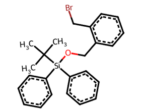 CC(C)(C)[Si](OCc1ccccc1CBr)(c1ccccc1)c1ccccc1